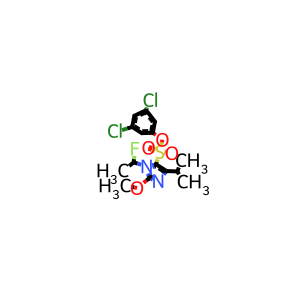 COc1nc(C(C)C)c(S(=O)(=O)Oc2cc(Cl)cc(Cl)c2)n1C(C)F